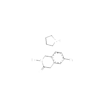 CCN1Cc2c(cc(Br)cc2[C@@H]2CCCN2)CC1=O